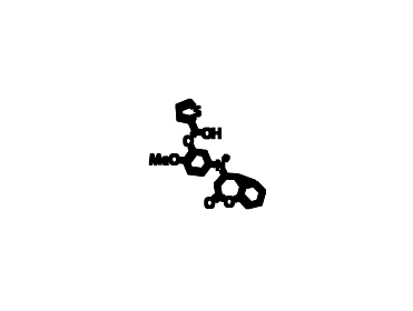 COC1=C(OC(O)c2cccs2)CC(N(C)C2CC(=O)OC3=CCCC4C3C42)C=C1